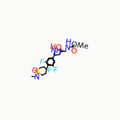 CN=[S@]1(=O)CC[C@@](F)(c2c(F)cc(C(=N)C[C@@H](O)CNC(=O)OC)cc2F)CC1